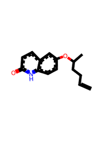 C=CCCC(C)Oc1ccc2[nH]c(=O)ccc2c1